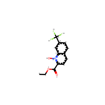 CCOC(=O)c1ccc2ccc(C(F)(F)F)cc2[n+]1[O-]